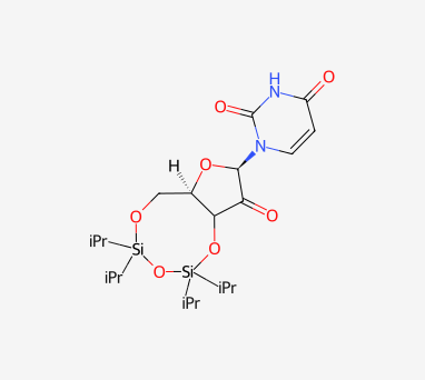 CC(C)[Si]1(C(C)C)OC[C@H]2O[C@@H](n3ccc(=O)[nH]c3=O)C(=O)C2O[Si](C(C)C)(C(C)C)O1